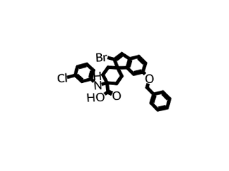 O=C(O)C1(Nc2cccc(Cl)c2)CCC2(CC1)C(Br)=Cc1ccc(OCc3ccccc3)cc12